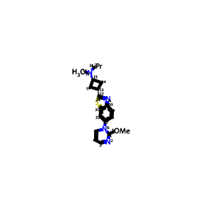 COC1N=CC=CN1c1ccc2nc([C@H]3C[C@H](N(C)C(C)C)C3)sc2c1